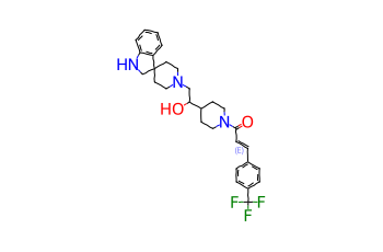 O=C(/C=C/c1ccc(C(F)(F)F)cc1)N1CCC(C(O)CN2CCC3(CC2)CNc2ccccc23)CC1